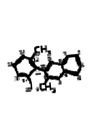 Cc1cc2ccccc2cc1-c1c(C)cccc1I